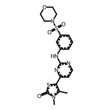 Cc1c(-c2ccnc(Nc3cccc(S(=O)(=O)N4CCOCC4)c3)n2)sc(=O)n1C